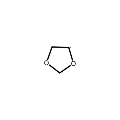 [CH]1COCO1